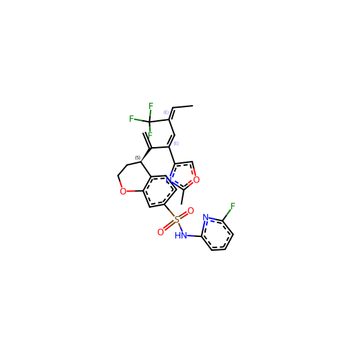 C=C(/C(=C\C(=C/C)C(F)(F)F)c1coc(C)n1)[C@@H]1CCOc2cc(S(=O)(=O)Nc3cccc(F)n3)ccc21